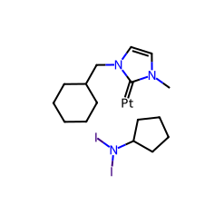 Cn1ccn(CC2CCCCC2)[c]1=[Pt].IN(I)C1CCCC1